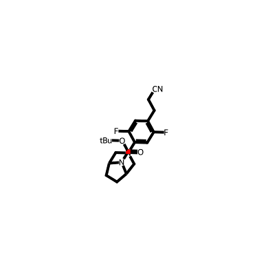 CC(C)(C)OC(=O)N1C2CCC1CN(c1cc(F)c(CCC#N)cc1F)C2